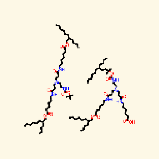 CCCCCCC(CCCC)CCC(C)(C)OC(=O)NCCN(CCC(=O)NCCCCCC(=O)O)CCC(=O)NCCCCCC(=O)OCC(CCCC)CCCCCC.CCCCCCC(CCCC)COC(=O)CCCCCCNC(=O)CCN(CCNC(=O)OC(C)(C)C)CCC(=O)NCCCCCC(=O)OCC(CCCC)CCCCCC